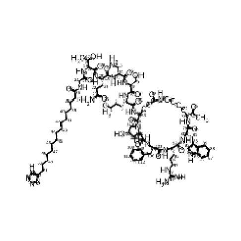 CCCC[C@H](NC(=O)[C@H](CO)NC(=O)[C@H](CN)NC(=O)[C@H](CCC(N)=O)NC(=O)[C@@H](NC(=O)CNC(=O)CCCCCCCCCCCCCCCc1nnn[nH]1)[C@@H](C)O)C(=O)N[C@H]1CCC(=O)NCCCC[C@@H](C(C)=O)NC(=O)[C@H](Cc2c[nH]c3ccccc23)NC(=O)[C@H](CCCNC(=N)N)NC(=O)[C@@H](Cc2ccccc2)NC(=O)[C@@H]2C[C@@H](O)CN2C1=O